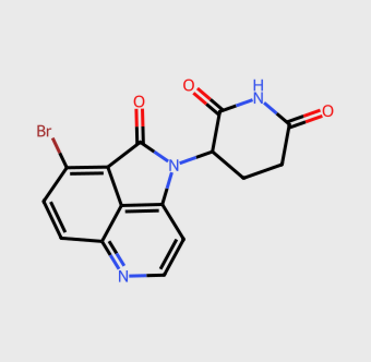 O=C1CCC(N2C(=O)c3c(Br)ccc4nccc2c34)C(=O)N1